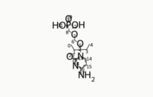 CCC(CC)(OCOCP(=O)(O)O)n1ccc(N)nc1=O